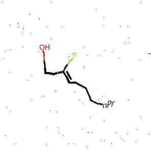 CCCCCC=C(F)CO